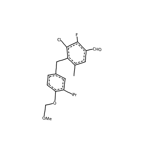 COCOc1ccc(Cc2c(C)cc(C=O)c(F)c2Cl)cc1C(C)C